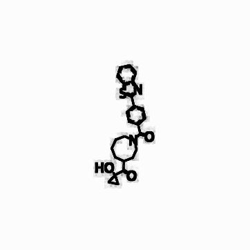 O=C(c1ccc(-c2nc3ccccc3s2)cc1)N1CCCCC(C(=O)C2(O)CC2)CC1